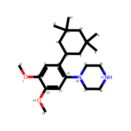 COc1cc(C2CC(C)(C)CC(C)(C)C2)c(N2CCNCC2)cc1OC